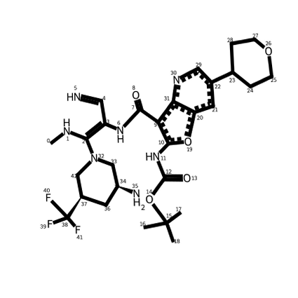 CN/C(=C(\C=N)NC(=O)c1c(NC(=O)OC(C)(C)C)oc2cc(C3CCOCC3)cnc12)N1C[C@@H](N)C[C@@H](C(F)(F)F)C1